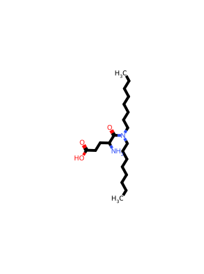 CCCCCCCCN(CCCCCCCC)C(=O)C(N)CCC(=O)O